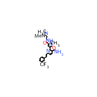 C/N=C(/CCNC(=O)c1cc(-c2nc(/C=C/c3cccc(C(F)(F)F)c3)ccc2C(N)=O)cn1C)NC